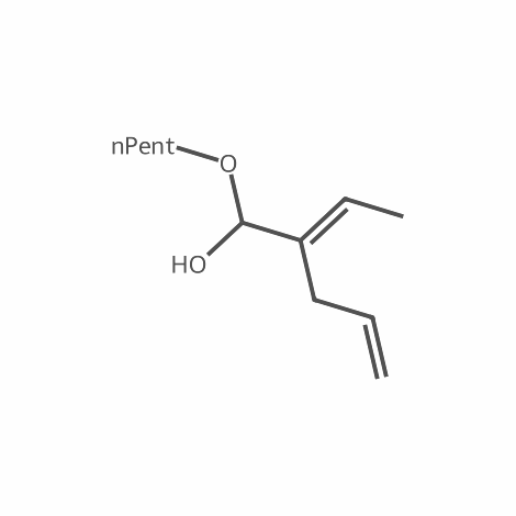 C=CCC(=CC)C(O)OCCCCC